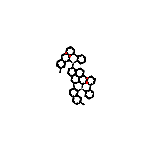 Cc1ccc2ccc(C)c(N(c3ccccc3-c3ccccc3)c3ccc4ccc5c(N(c6ccccc6-c6ccccc6)c6c(C)ccc7ccc(C)cc67)ccc6ccc3c4c65)c2c1